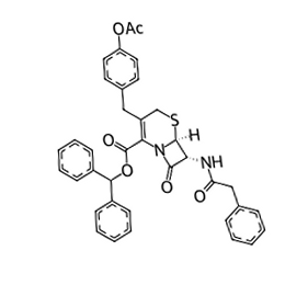 CC(=O)Oc1ccc(CC2=C(C(=O)OC(c3ccccc3)c3ccccc3)N3C(=O)[C@@H](NC(=O)Cc4ccccc4)[C@@H]3SC2)cc1